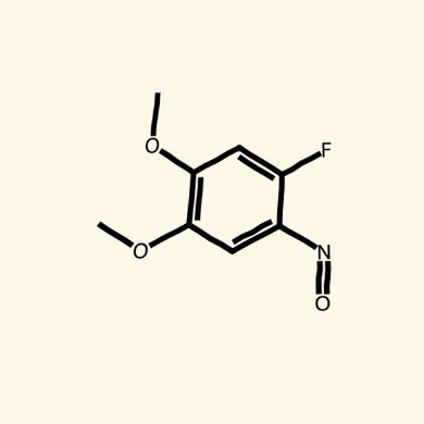 COc1cc(F)c(N=O)cc1OC